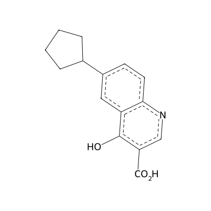 O=C(O)c1cnc2ccc(C3CCCC3)cc2c1O